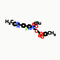 Cc1ccc(S(=O)(=O)OCCOCCN(C(=O)OC(C)(C)C)c2ccc(-c3ccc(-c4cn5cc(C)ccc5n4)cc3)c(F)n2)cc1